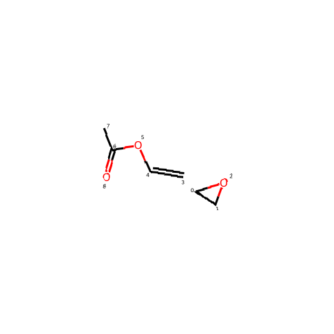 C1CO1.C=COC(C)=O